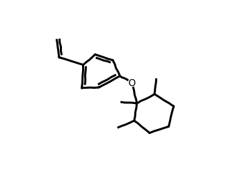 C=Cc1ccc(OC2(C)C(C)CCCC2C)cc1